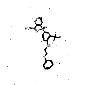 NC(=O)c1nnccc1S(=O)(=O)c1ccc(NCCSc2ccccc2)c(C(F)(F)F)c1